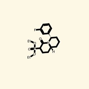 CCOP(=O)(OCC)C1CC[C@H]2CCC[C@@H](c3cccc(F)c3)N2C1=O